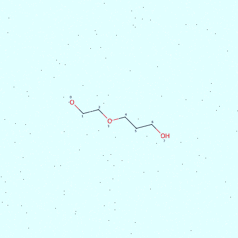 [O]CCOCCCO